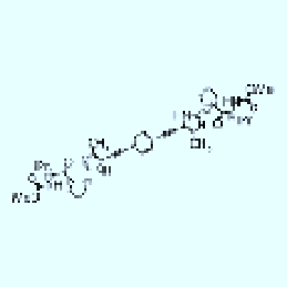 COC(=O)N[C@H](C(=O)N1CCC[C@H]1c1nc(C)c(C#Cc2ccc(C#Cc3[nH]c([C@@H]4CCCN4C(=O)[C@H](NC(=O)OC)C(C)C)nc3C)cc2)[nH]1)C(C)C